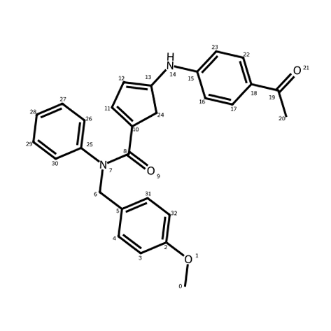 COc1ccc(CN(C(=O)C2=CC=C(Nc3ccc(C(C)=O)cc3)C2)c2ccccc2)cc1